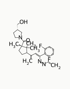 C=C/N=N\C(=C/C(=C)C1CC[C@](C)(C(=O)N2CC[C@H](CO)C2)C1(C)C)c1c(F)cccc1F